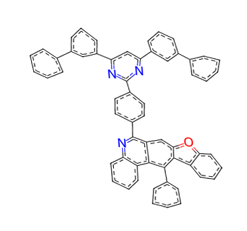 c1ccc(-c2cccc(-c3cc(-c4cccc(-c5ccccc5)c4)nc(-c4ccc(-c5nc6ccccc6c6c(-c7ccccc7)c7c(cc56)oc5ccccc57)cc4)n3)c2)cc1